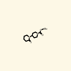 CC(C)(C)OC(=O)N1CCC(N2CCCCC2=S)CC1